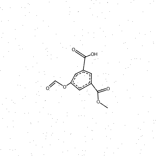 COC(=O)c1cc(OC=O)cc(C(=O)O)c1